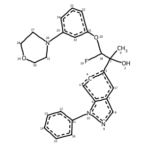 CC(O)(c1ccc2c(cnn2-c2ccccc2)c1)C(F)Oc1cccc(N2CCOCC2)c1